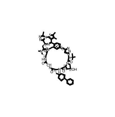 Cc1sc2c(c1C)C(c1ccc(Cl)cc1)=N[C@@H](CC(=O)N(C)C[C@H]1NC(=O)CNC(=O)[C@@H](Cc3ccc(-c4ccccc4)cc3)NC(=O)[C@@H]3C[C@@H](O)CN3C(=O)[C@H](C(C)(C)C)n3cc(nn3)COCCNC1=O)c1nnc(C)n1-2